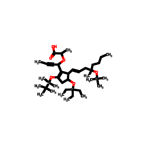 CC#CC(OC(C)C(=O)O)C1=C(O[Si](C)(C)C(C)(C)C)CC(O[Si](CC)(CC)CC)C1/C=C/CC(C)(CCCC)O[Si](C)(C)C